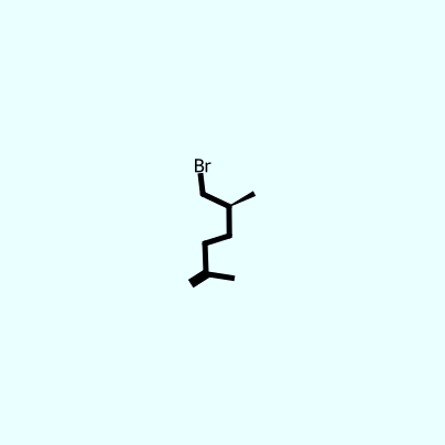 C=C(C)CC[C@H](C)CBr